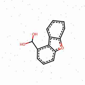 OC(O)c1cccc2oc3ccccc3c12